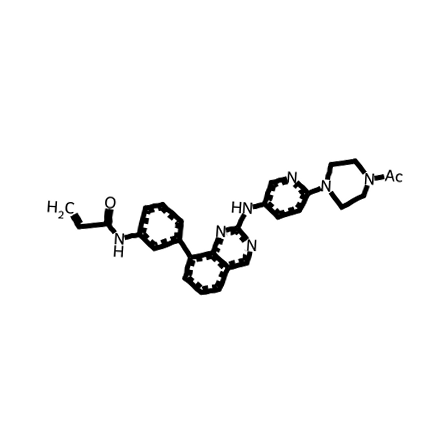 C=CC(=O)Nc1cccc(-c2cccc3cnc(Nc4ccc(N5CCN(C(C)=O)CC5)nc4)nc23)c1